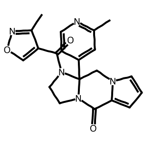 Cc1cc(C23Cn4cccc4C(=O)N2CCN3C(=O)c2conc2C)ccn1